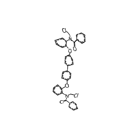 O=C(c1ccccc1)N(CCl)c1ccccc1Oc1ccc(-c2ccc(Oc3ccccc3N(CCl)C(=O)c3ccccc3)cc2)cc1